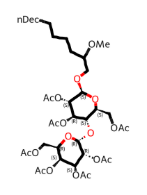 CCCCCCCCCCCCCCC(CO[C@H]1O[C@@H](COC(C)=O)[C@H](O[C@H]2O[C@H](COC(C)=O)[C@H](OC(C)=O)[C@H](OC(C)=O)[C@H]2OC(C)=O)[C@@H](OC(C)=O)[C@@H]1OC(C)=O)OC